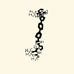 COC(=O)NC(C(=O)N1CCCC1c1ncc(-c2ccc(-c3ccc(-c4ccc5nc(C6(C(C)(C)C)CCCN6C(=O)O)[nH]c5c4)cc3)cc2)[nH]1)C(C)C